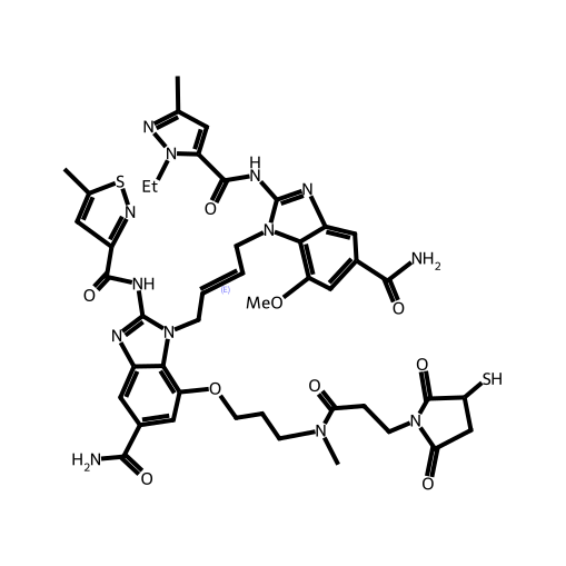 CCn1nc(C)cc1C(=O)Nc1nc2cc(C(N)=O)cc(OC)c2n1C/C=C/Cn1c(NC(=O)c2cc(C)sn2)nc2cc(C(N)=O)cc(OCCCN(C)C(=O)CCN3C(=O)CC(S)C3=O)c21